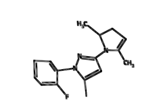 CC1=CCC(C)N1c1cc(I)n(-c2ccccc2F)n1